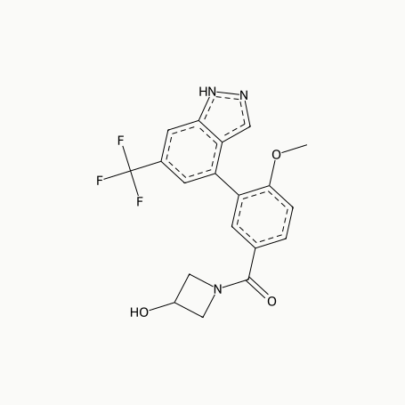 COc1ccc(C(=O)N2CC(O)C2)cc1-c1cc(C(F)(F)F)cc2[nH]ncc12